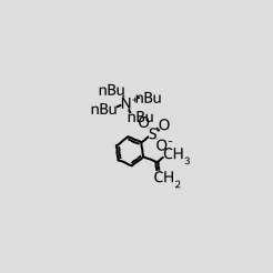 C=C(C)c1ccccc1S(=O)(=O)[O-].CCCC[N+](CCCC)(CCCC)CCCC